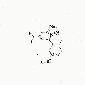 CC1CCN(C=O)CC1c1cc(C(F)F)nc2ncnn12